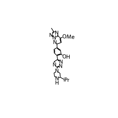 COc1cc(-c2ccc(-c3cnc(N4CCNC(C(C)C)C4)nn3)c(O)c2)nn2nc(C)nc12